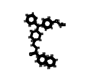 CCCCOc1ccc(C(c2ccccc2)C2CCN(CCC(=O)c3ccc4ccccc4c3)CC2)cc1